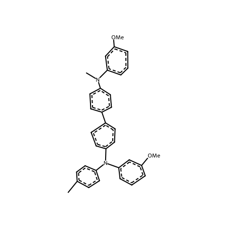 COc1cccc(N(C)c2ccc(-c3ccc(N(c4ccc(C)cc4)c4cccc(OC)c4)cc3)cc2)c1